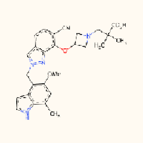 COc1cc(C)c2[nH]ccc2c1Cn1cc2ccc(C#N)c(OC3CN(CC(C)(C)C(=O)O)C3)c2n1